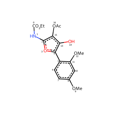 CCOC(=O)Nc1oc(-c2ccc(OC)cc2OC)c(O)c1OC(C)=O